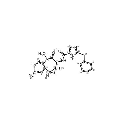 CN1C(=O)[C@@H](NC(=O)c2nnc(Cc3ccccc3)[nH]2)[C@H]2C[C@H]2c2cc(C#N)cnc21